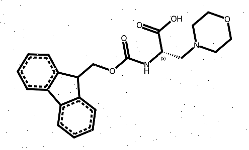 O=C(N[C@@H](CN1CCOCC1)C(=O)O)OCC1c2ccccc2-c2ccccc21